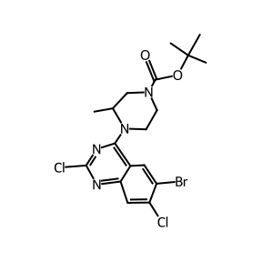 CC1CN(C(=O)OC(C)(C)C)CCN1c1nc(Cl)nc2cc(Cl)c(Br)cc12